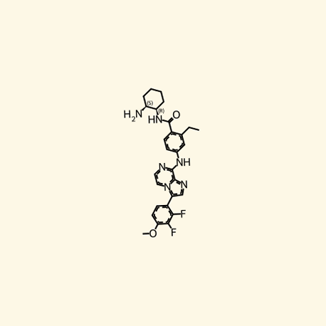 CCc1cc(Nc2nccn3c(-c4ccc(OC)c(F)c4F)cnc23)ccc1C(=O)N[C@@H]1CCCC[C@@H]1N